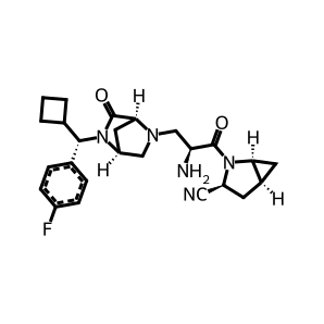 N#C[C@@H]1C[C@@H]2C[C@@H]2N1C(=O)[C@@H](N)CN1C[C@@H]2C[C@H]1C(=O)N2[C@H](c1ccc(F)cc1)C1CCC1